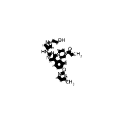 C=CC(=O)N1CCN(c2nc(Nc3cnn(CCO)c3)ncc2-c2ccc(Oc3nccc(C)n3)c(F)c2)CC1